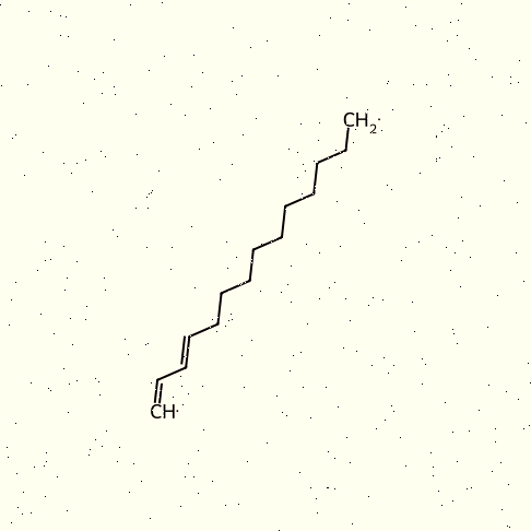 [CH]=CC=CCCCCCCCCC[CH2]